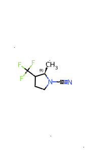 C[C@@H]1C(C(F)(F)F)CCN1C#N